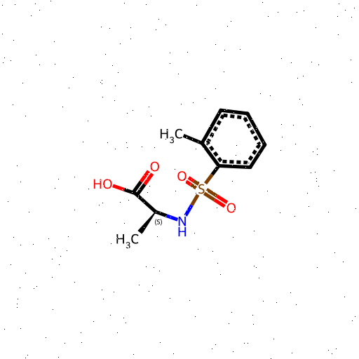 Cc1ccccc1S(=O)(=O)N[C@@H](C)C(=O)O